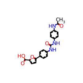 CC(=O)Nc1ccc(NC(=O)Nc2ccc(-c3ccc(C(=O)O)o3)cc2)cc1